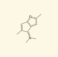 CC1=Cc2oc(C)cc2C1=[Si](C)C